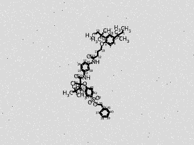 CCC(C)(C)c1ccc(OCCCC(=O)Nc2cccc(NC(=O)C(Cl)(Oc3ccc(S(=O)(=O)OCc4ccccc4)cc3)C(=O)C(C)(C)C)c2)c(C(C)(C)CC)c1